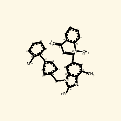 C=C1C=C(c2cc(C)c3nc(CCC)n(Cc4ccc(-c5ccccc5Cl)cc4)c3c2)N(C)c2ccccc21